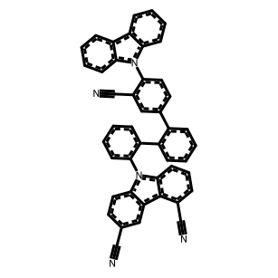 N#Cc1ccc2c(c1)c1c(C#N)cccc1n2-c1ccccc1-c1ccccc1-c1ccc(-n2c3ccccc3c3ccccc32)c(C#N)c1